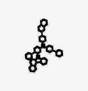 c1ccc(-c2ccc(N(c3ccc(-c4ccc5ccccc5c4)cc3)c3ccc(-c4ccccc4)c(-n4c5ccccc5c5c6ccccc6ccc54)c3)cc2)cc1